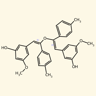 COc1cc(O)cc(/C=C(/O/C(=C/c2cc(O)cc(OC)c2)c2ccc(C)cc2)c2ccc(C)cc2)c1